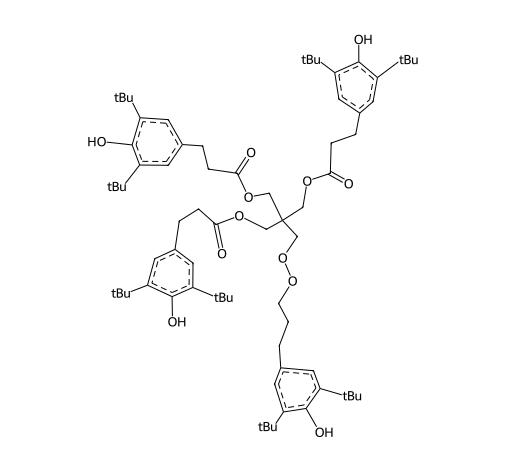 CC(C)(C)c1cc(CCCOOCC(COC(=O)CCc2cc(C(C)(C)C)c(O)c(C(C)(C)C)c2)(COC(=O)CCc2cc(C(C)(C)C)c(O)c(C(C)(C)C)c2)COC(=O)CCc2cc(C(C)(C)C)c(O)c(C(C)(C)C)c2)cc(C(C)(C)C)c1O